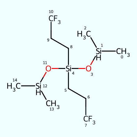 C[SiH](C)O[Si](CCC(F)(F)F)(CCC(F)(F)F)O[SiH](C)C